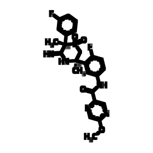 COc1cnc(C(=O)Nc2ccc(F)c([C@]3(C)CS(=O)(=O)[C@@](C)(c4cccc(F)c4)C(=N)N3)c2)cn1